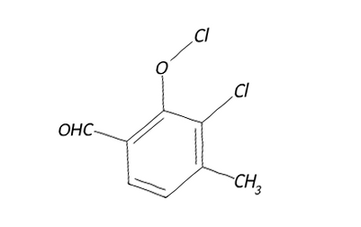 Cc1ccc(C=O)c(OCl)c1Cl